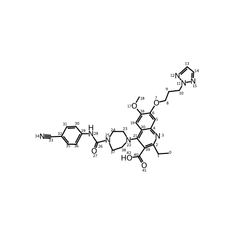 CCc1nc2cc(OCCCn3nccn3)c(OC)cc2c(N2CCN(C(=O)Nc3ccc(C#N)cc3)CC2)c1C(=O)O